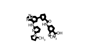 COc1cc(NC(=O)c2cccc(-c3cc(Nc4cccc(N5CCCC5C)n4)c4ncnn4c3)c2)ccc1C(=O)O